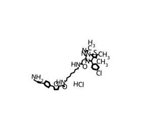 Cc1sc2c(c1C)C(c1ccc(Cl)cc1)=N[C@@H](CC(=O)NCCCCCCCNC(=O)c1ccc(-c3ccc(C#CCN)cc3)o1)c1nnc(C)n1-2.Cl